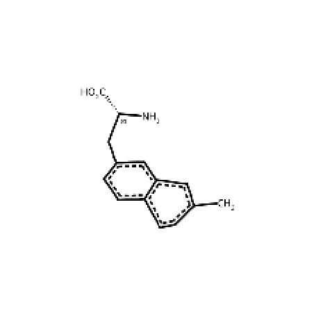 Cc1ccc2ccc(C[C@@H](N)C(=O)O)cc2c1